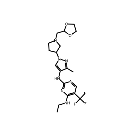 CCNc1nc(Nc2cn(C3CCN(CC4OCCO4)C3)nc2C)ncc1C(F)(F)F